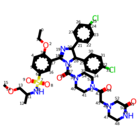 CCOc1ccc(S(=O)(=O)NC(C)COC)cc1C1=NC(c2ccc(Cl)cc2)C(c2ccc(Cl)cc2)N1C(=O)N1CCN(C(=O)CN2CCNC(=O)C2)CC1